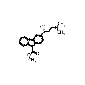 COC(=O)c1c2ccc([S+]([O-])CCN(C)C)cc2n2ccccc12